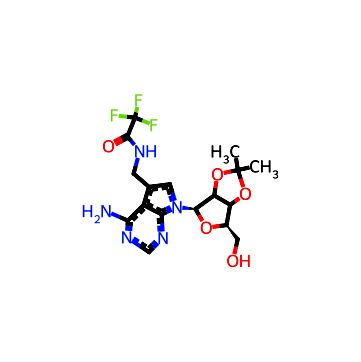 CC1(C)OC2C(O1)[C@@H](CO)O[C@H]2n1cc(CNC(=O)C(F)(F)F)c2c(N)ncnc21